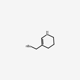 CCCCCC1=CNCCC1